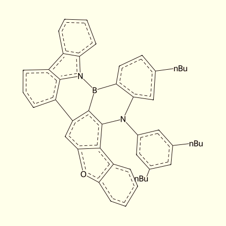 CCCCc1cc(CCCC)cc(N2c3cc(CCCC)ccc3B3c4c(cc5oc6ccccc6c5c42)-c2cccc4c5ccccc5n3c24)c1